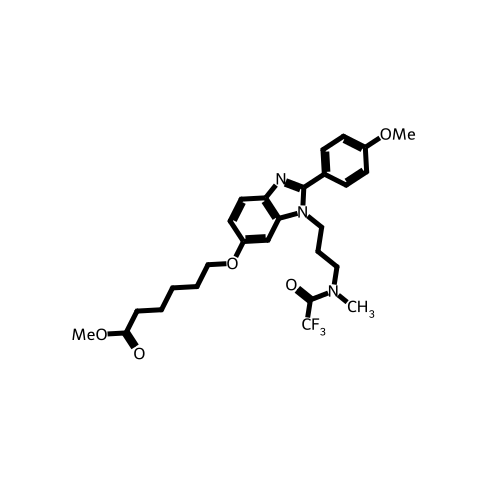 COC(=O)CCCCCOc1ccc2nc(-c3ccc(OC)cc3)n(CCCN(C)C(=O)C(F)(F)F)c2c1